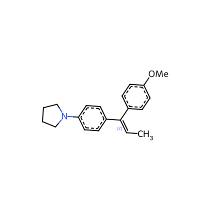 C/C=C(\c1ccc(OC)cc1)c1ccc(N2CCCC2)cc1